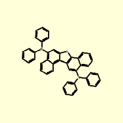 c1ccc(N(c2ccccc2)c2cc3c(sc4cc(N(c5ccccc5)c5ccccc5)c5ccccc5c43)c3ccccc23)cc1